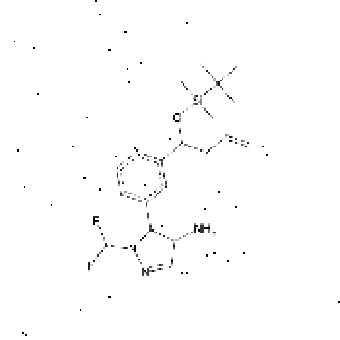 C=CCC(O[Si](C)(C)C(C)(C)C)c1cc(C2C(N)C=NN2C(F)F)ccn1